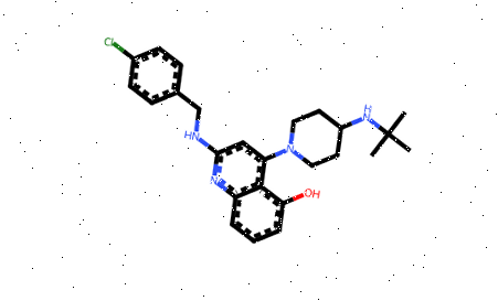 CC(C)(C)NC1CCN(c2cc(NCc3ccc(Cl)cc3)nc3cccc(O)c23)CC1